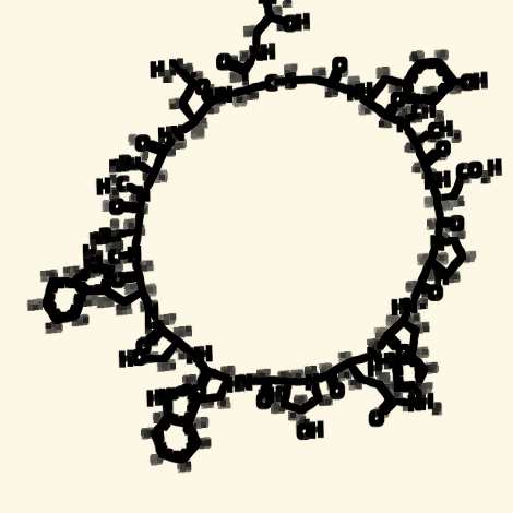 CCCC[C@H]1C(=O)N(C)[C@@H](CCCC)C(=O)N[C@@H](CCN)C(=O)N[C@H](C(=O)NCC(N)O)CSCC(=O)NC(Cc2ccc(O)cc2)C(=O)N(C)[C@@H](C)C(=O)N[C@@H](CC(=O)O)C(=O)N2CCC[C@H]2C(=O)N[C@@H](Cc2cnc[nH]2)C(=O)N[C@@H](CCC(N)=O)C(=O)N2C[C@H](O)C[C@H]2C(=O)N[C@@H](Cc2c[nH]c3ccccc23)C(=O)N[C@@H](CO)C(=O)N[C@@H](Cc2c[nH]c3ccccc23)C(=O)N1C